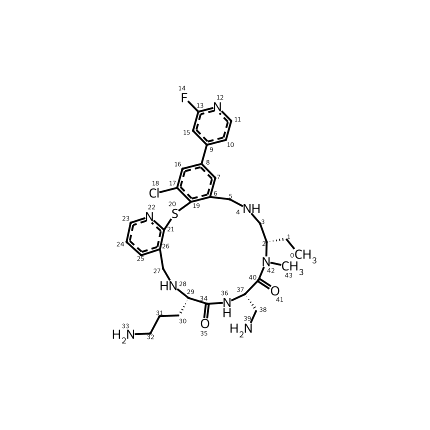 CC[C@H]1CNCc2cc(-c3ccnc(F)c3)cc(Cl)c2Sc2ncccc2CN[C@@H](CCCN)C(=O)N[C@@H](CN)C(=O)N1C